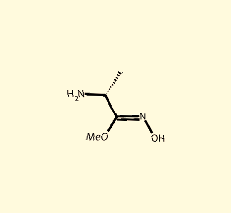 [CH2][C@@H](N)/C(=N/O)OC